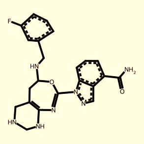 NC(=O)c1cccc2c1cnn2C1=NC2=C(CNCN2)CC(NCc2cccc(F)c2)O1